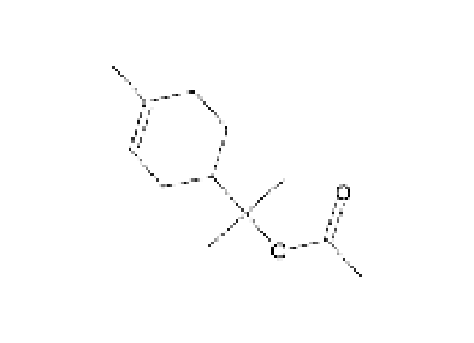 CC(=O)OC(C)(C)C1CC=C(C)CC1